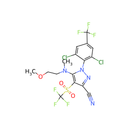 COCCN(C)c1c(S(=O)(=O)C(F)(F)F)c(C#N)nn1-c1c(Cl)cc(C(F)(F)F)cc1Cl